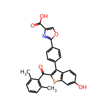 Cc1cccc(C)c1C(=O)c1sc2cc(O)ccc2c1-c1ccc(-c2nc(C(=O)O)co2)cc1